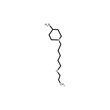 CCCOCCCCCN1CCC(N)CC1